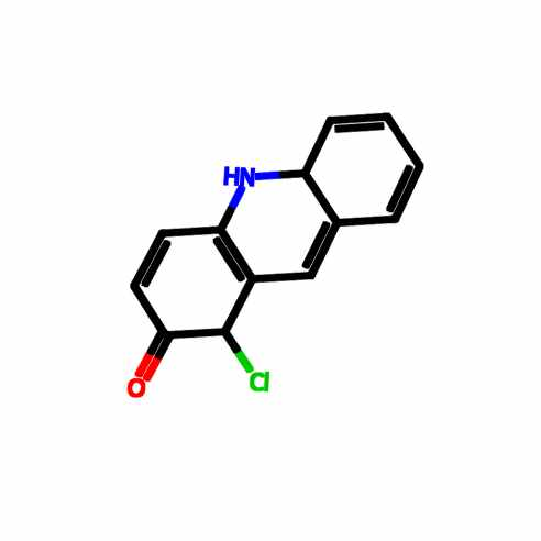 O=C1C=CC2=C(C=C3C=CC=CC3N2)C1Cl